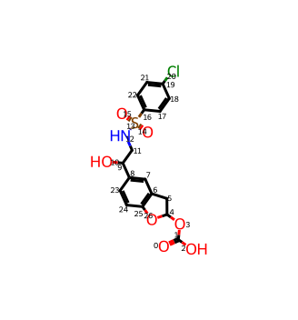 O=C(O)OC1Cc2cc(C(O)CNS(=O)(=O)c3ccc(Cl)cc3)ccc2O1